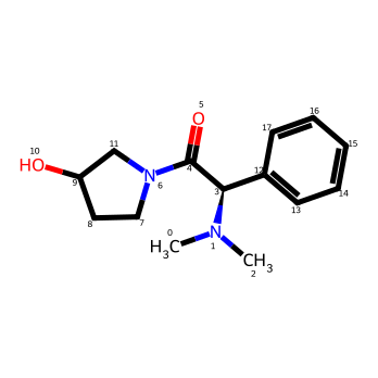 CN(C)[C@@H](C(=O)N1CCC(O)C1)c1ccccc1